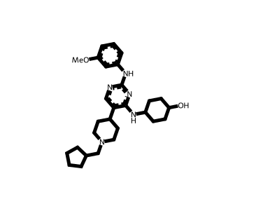 COc1cccc(Nc2ncc(C3CCN(CC4CCCC4)CC3)c(NC3CCC(O)CC3)n2)c1